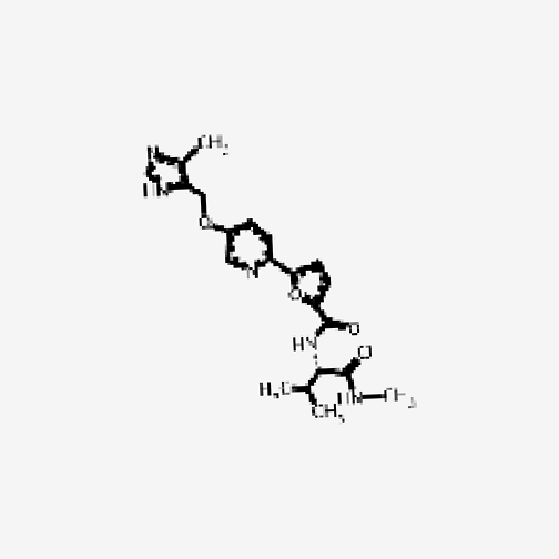 CNC(=O)[C@@H](NC(=O)c1ccc(-c2ccc(OCc3[nH]cnc3C)cn2)o1)C(C)C